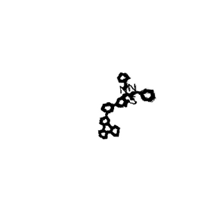 c1ccc(-c2nc(-c3ccccc3)c3sc4ccc(-c5cccc(-c6ccc7c8ccccc8c8ccccc8c7c6)c5)cc4c3n2)cc1